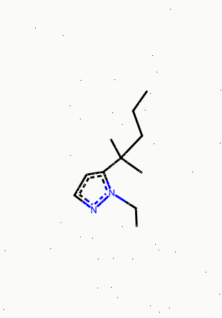 CCCC(C)(C)c1ccnn1CC